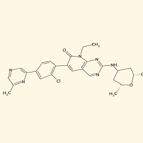 CCn1c(=O)c(-c2ccc(-c3cncc(C)n3)cc2Cl)cc2cnc(NC3C[C@@H](C)O[C@@H](C)C3)nc21